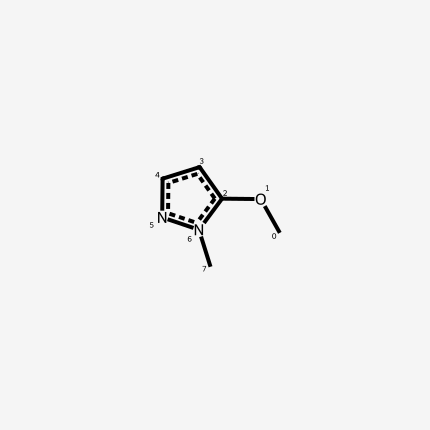 COc1ccnn1C